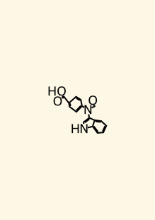 O=CN(c1ccc(C(=O)O)cc1)c1c[nH]c2ccccc12